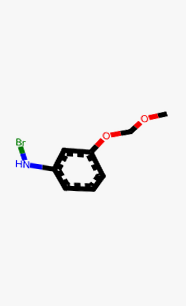 COCOc1cccc(NBr)c1